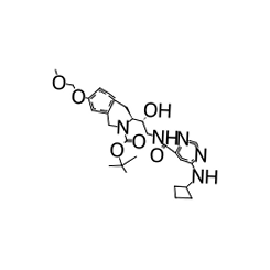 COCOc1ccc2c(c1)CN(C(=O)OC(C)(C)C)[C@H]([C@H](O)CNC(=O)c1cc(NC3CCC3)ncn1)C2